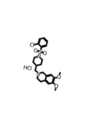 COc1cc2c(cc1OC)CN(CC1CCN(S(=O)(=O)c3ccccc3Cl)CC1)CC2.Cl